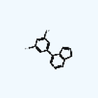 CC(C)c1cc(-c2cccc3c2C=C[CH]3)cc(C(C)C)c1